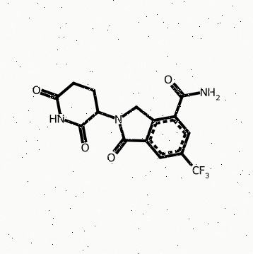 NC(=O)c1cc(C(F)(F)F)cc2c1CN(C1CCC(=O)NC1=O)C2=O